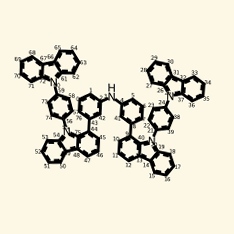 c1cc(Nc2cccc(-c3cccc4c5ccccc5n(-c5ccc(-n6c7ccccc7c7ccccc76)cc5)c34)c2)cc(-c2cccc3c4ccccc4n(-c4ccc(-n5c6ccccc6c6ccccc65)cc4)c23)c1